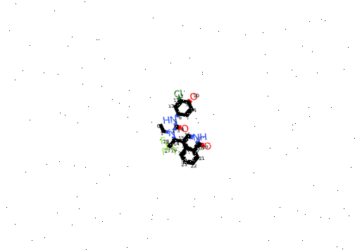 CCN(C(=O)NC1C=CC(=O)C(Cl)=C1)C(c1c[nH]c(=O)c2ccccc12)C(F)(F)F